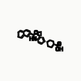 O=C(Nc1ccc([C@H]2CC[C@H](C(=O)O)CC2)cc1Cl)c1ccc2ccccc2c1